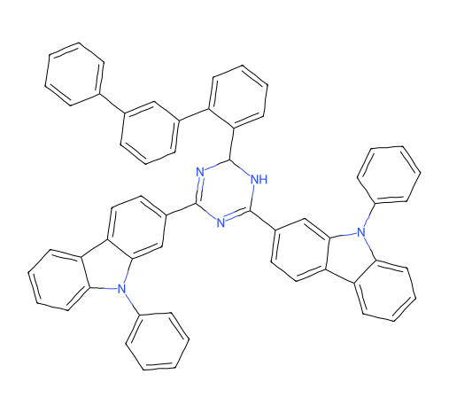 c1ccc(-c2cccc(-c3ccccc3C3N=C(c4ccc5c6ccccc6n(-c6ccccc6)c5c4)N=C(c4ccc5c6ccccc6n(-c6ccccc6)c5c4)N3)c2)cc1